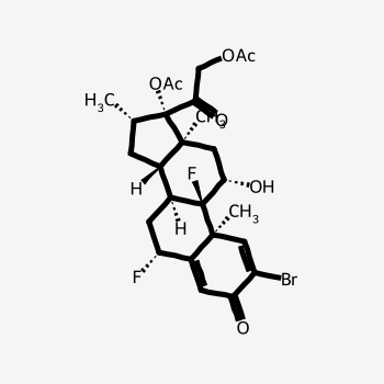 CC(=O)OCC(=O)[C@]1(OC(C)=O)[C@@H](C)C[C@H]2[C@@H]3C[C@@H](F)C4=CC(=O)C(Br)=C[C@]4(C)[C@@]3(F)[C@@H](O)C[C@@]21C